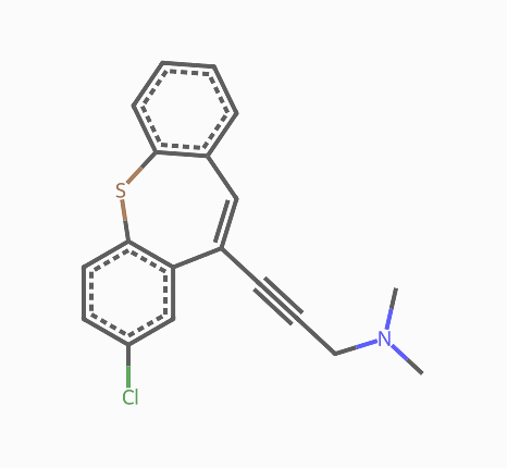 CN(C)CC#CC1=Cc2ccccc2Sc2ccc(Cl)cc21